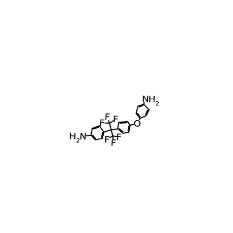 Nc1ccc(Oc2ccc(C(c3ccc(N)cc3)(C(F)(F)F)C(F)(F)F)cc2)cc1